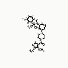 Cc1c(C(=O)N2CCN(c3cncc(N4Cc5ccc(Cl)cc5C4(C)C)c3)CC2)cnn1C